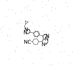 N#CC1CCC(c2nccn3ncc(-c4ccc(-c5cnn(CC6CC6)c5)cc4)c23)CC1